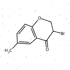 Cc1ccc2c(c1)C(=O)C(Br)CO2